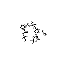 CC(C)(C)OC(=O)N1CC[C@H]1CO.CC(C)(C)OC(=O)N1CC[C@H]1COS(C)(=O)=O